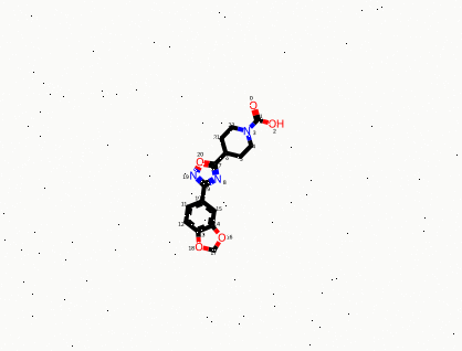 O=C(O)N1CCC(c2nc(-c3ccc4c(c3)OCO4)no2)CC1